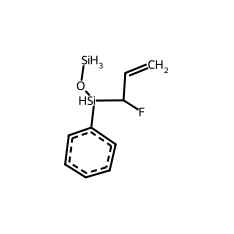 C=CC(F)[SiH](O[SiH3])c1ccccc1